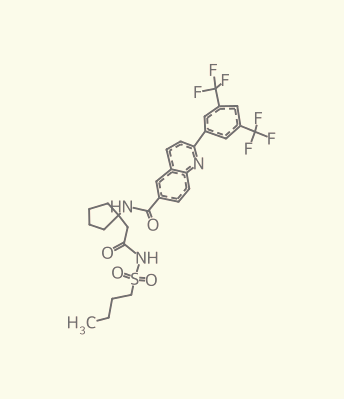 CCCCS(=O)(=O)NC(=O)CC1(NC(=O)c2ccc3nc(-c4cc(C(F)(F)F)cc(C(F)(F)F)c4)ccc3c2)CCCC1